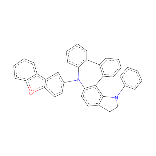 c1ccc(N2CCc3ccc4c(c32)-c2ccccc2-c2ccccc2N4c2ccc3oc4ccccc4c3c2)cc1